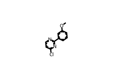 COc1cccc(-c2nccc(Cl)n2)c1